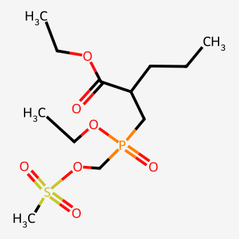 CCCC(CP(=O)(COS(C)(=O)=O)OCC)C(=O)OCC